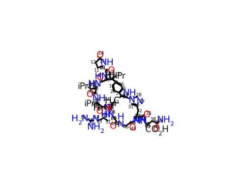 CC(C)C[C@@H]1NC(=O)[C@@H](NC(=O)[C@@H]2CCC(=O)N2)[C@H](C(C)C)c2ccc3c4c([nH]c3c2)-n2cnc(c2)C[C@@H](C(=O)N[C@@H](CC(N)=O)C(=O)O)NC(=O)CNC(=O)[C@H](CCCN=C(N)N)NC(=O)[C@H](C4)NC(=O)[C@H](C(C)C)NC1=O